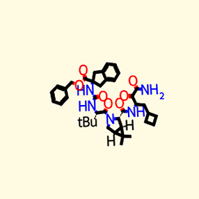 CC(C)(C)[C@H](NC(=O)NC1(C(=O)OCc2ccccc2)Cc2ccccc2C1)C(=O)N1C[C@H]2[C@@H]([C@H]1C(=O)NC(CC1CCC1)C(=O)C(N)=O)C2(C)C